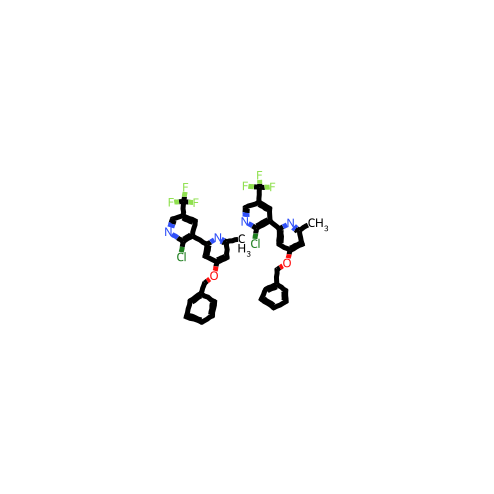 Cc1cc(OCc2ccccc2)cc(-c2cc(C(F)(F)F)cnc2Cl)n1.Cc1cc(OCc2ccccc2)cc(-c2cc(C(F)(F)F)cnc2Cl)n1